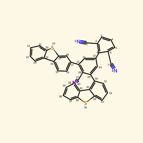 N#Cc1cccc(C#N)c1-c1cc(-c2ccc3c(c2)sc2ccccc23)c(C#N)c(-c2cccc3sc4ccccc4c23)c1